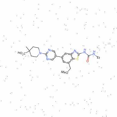 CCNC(=O)Nc1nc2cc(-c3cnc(N4CCC(C)(C(=O)O)CC4)nc3)cc(COC)c2s1